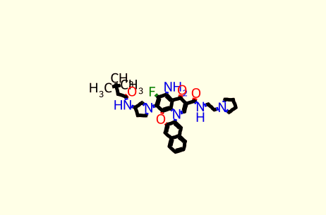 CC(C)(C)CC(=O)NC1CCN(c2c(F)c(N)c3c(=O)c(C(=O)NCCN4CCCC4)cn4c3c2Oc2cc3ccccc3cc2-4)C1